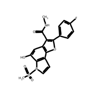 CNC(=O)c1c(-c2ccc(F)cc2)oc2c1cc(O)c1c2ccn1S(C)(=O)=O